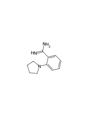 N=C(N)c1ccccc1N1CCCC1